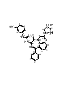 Cc1cccc(NC(=O)N[C@@H]2N=C(c3ccccc3)c3ccccc3N(CC(=O)[C@H]3CCCN3)C2=O)c1.Cl